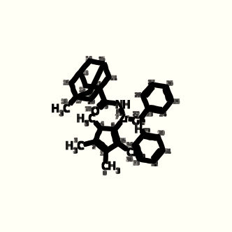 CC1=C(C)C(C)[C]([Zr]([NH]C(=O)C23CC4CC(CC(C)(C4)C2)C3)[GeH]([c]2ccccc2)[c]2ccccc2)=C1C